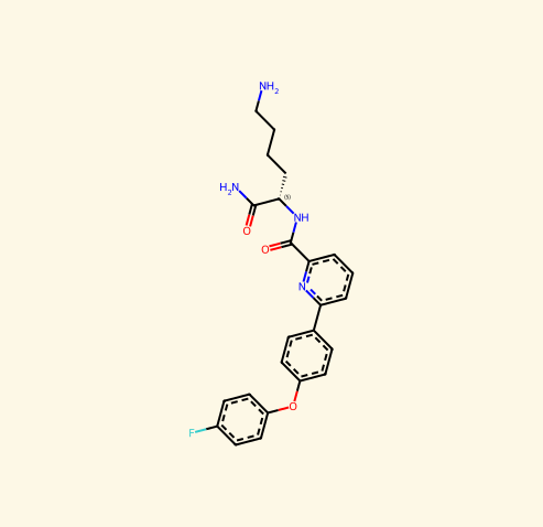 NCCCC[C@H](NC(=O)c1cccc(-c2ccc(Oc3ccc(F)cc3)cc2)n1)C(N)=O